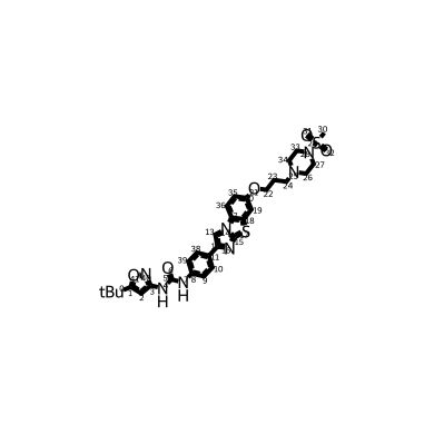 CC(C)(C)c1cc(NC(=O)Nc2ccc(-c3cn4c(n3)sc3cc(OCCCN5CCN(S(C)(=O)=O)CC5)ccc34)cc2)no1